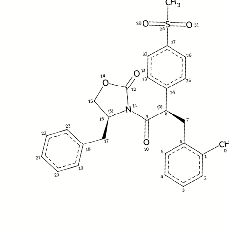 Cc1ccccc1C[C@@H](C(=O)N1C(=O)OC[C@@H]1Cc1ccccc1)c1ccc(S(C)(=O)=O)cc1